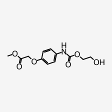 COC(=O)COc1ccc(NC(=O)OCCO)cc1